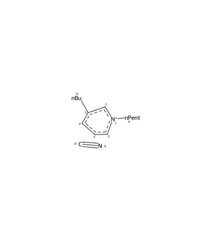 CCCCC[n+]1cccc(CCCC)c1.[C-]#N